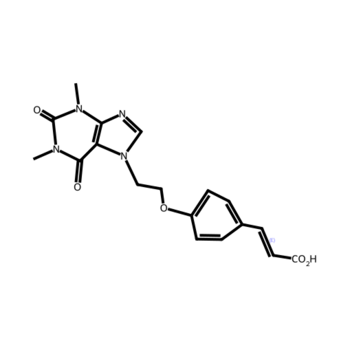 Cn1c(=O)c2c(ncn2CCOc2ccc(/C=C/C(=O)O)cc2)n(C)c1=O